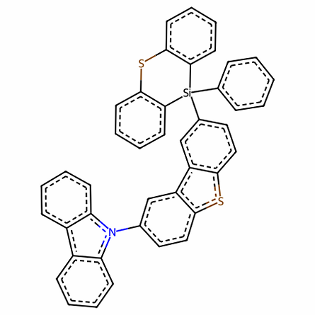 c1ccc([Si]2(c3ccc4sc5ccc(-n6c7ccccc7c7ccccc76)cc5c4c3)c3ccccc3Sc3ccccc32)cc1